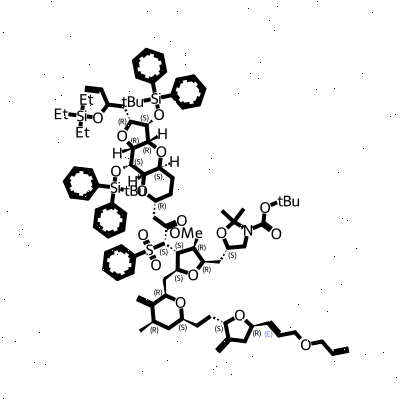 C=CCOC/C=C/[C@H]1CC(=C)[C@H](CC[C@H]2C[C@@H](C)C(=C)[C@@H](C[C@@H]3O[C@H](C[C@H]4CN(C(=O)OC(C)(C)C)C(C)(C)O4)[C@H](OC)[C@H]3[C@@H](C(=O)C[C@H]3CC[C@@H]4O[C@@H]5[C@@H](O[C@H](CC(C=C)O[Si](CC)(CC)CC)[C@@H]5O[Si](c5ccccc5)(c5ccccc5)C(C)(C)C)[C@@H](O[Si](c5ccccc5)(c5ccccc5)C(C)(C)C)[C@H]4O3)S(=O)(=O)c3ccccc3)O2)O1